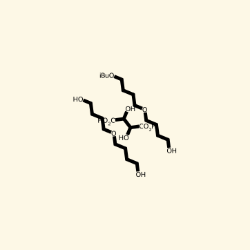 CC(C)COCCCCOCCCCO.O=C(O)C(O)C(O)C(=O)O.OCCCCOCCCCO